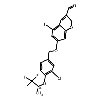 C[C@H](Oc1ccc(COc2cc(F)c3c(c2)OCC(C=O)=C3)cc1Cl)C(F)(F)F